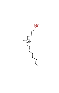 CCCCCCCC[Si](C)(C)CCCCBr